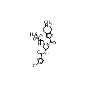 CN1CCc2cc(C(=O)N3C[C@H](NC(=O)c4ccc(Cl)s4)C[C@H]3CNS(C)(=O)=O)sc2CC1